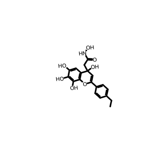 CCc1ccc(C2=CC(O)(CC(=O)NO)c3cc(O)c(O)c(O)c3O2)cc1